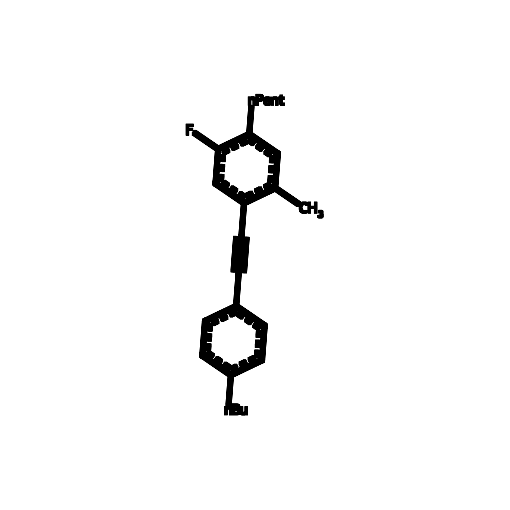 CCCCCc1cc(C)c(C#Cc2ccc(CCCC)cc2)cc1F